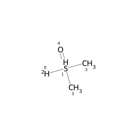 [2H][SH](C)(C)=O